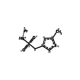 Cc1cc(CS(=O)(=O)NC(C)C)cs1